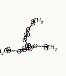 C=CC(=O)OCCCCCCCCCOc1ccc(C(=O)Oc2ccc(OC(=O)c3ccc(OCCCCCCCCCOC(=O)C=C)cc3)c(C(=O)OCCCCCOc3ccc(OC(=O)c4ccc(OCCCCCCOC(=O)C=C)cc4)cc3)c2)cc1